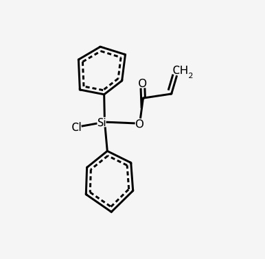 C=CC(=O)O[Si](Cl)(c1ccccc1)c1ccccc1